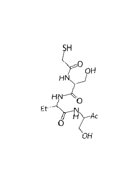 CCC(NC(=O)C(CO)NC(=O)CS)C(=O)NC(CO)C(C)=O